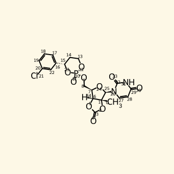 C[C@@]12OC(=O)O[C@@H]1[C@@H](CO[P@@]1(=O)OCC[C@@H](c3cccc(Cl)c3)O1)O[C@H]2n1ccc(=O)[nH]c1=O